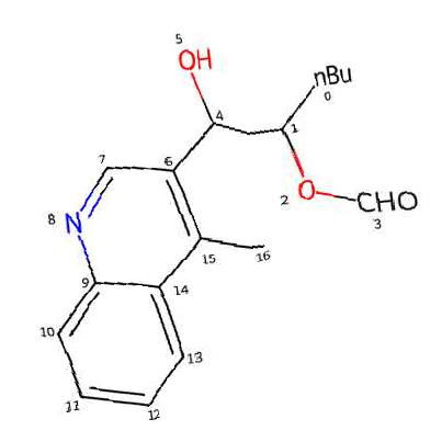 CCCCC(OC=O)C(O)c1cnc2ccccc2c1C